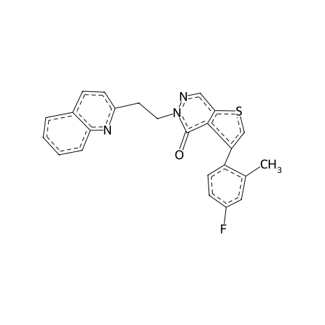 Cc1cc(F)ccc1-c1csc2cnn(CCc3ccc4ccccc4n3)c(=O)c12